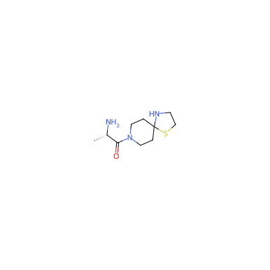 C[C@H](N)C(=O)N1CCC2(CC1)NCCS2